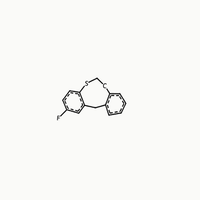 Fc1ccc2c(c1)Cc1ccccc1CCS2